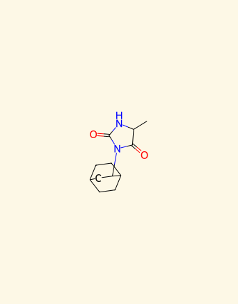 CC1NC(=O)N(C2CC3CCC2CC3)C1=O